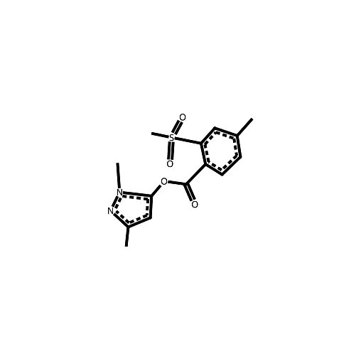 Cc1ccc(C(=O)Oc2cc(C)nn2C)c(S(C)(=O)=O)c1